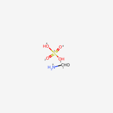 NC=O.O=S(=O)(O)O